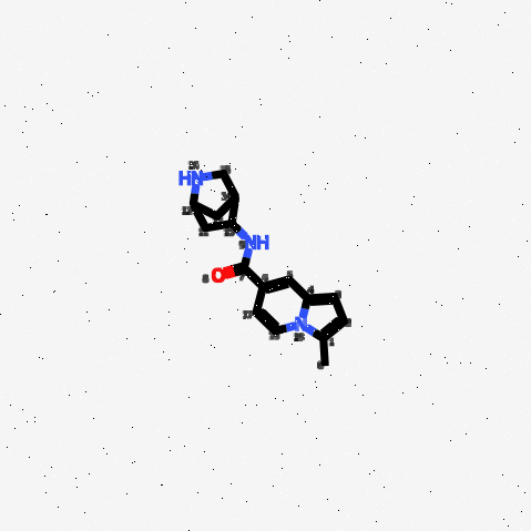 Cc1ccc2cc(C(=O)NC3CC4CC3CN4)ccn12